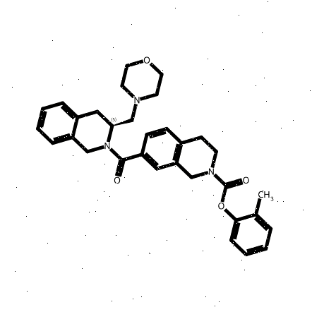 Cc1ccccc1OC(=O)N1CCc2ccc(C(=O)N3Cc4ccccc4C[C@H]3CN3CCOCC3)cc2C1